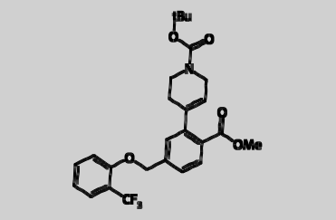 COC(=O)c1ccc(COc2ccccc2C(F)(F)F)cc1C1=CCN(C(=O)OC(C)(C)C)CC1